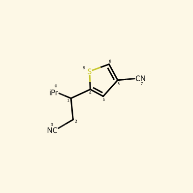 CC(C)C(CC#N)c1cc(C#N)cs1